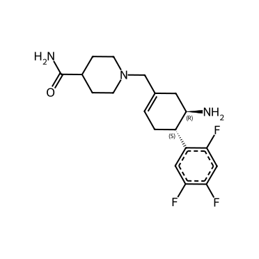 NC(=O)C1CCN(CC2=CC[C@@H](c3cc(F)c(F)cc3F)[C@H](N)C2)CC1